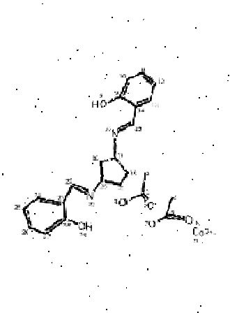 CC(=O)[O-].CC(=O)[O-].Oc1ccccc1C=NC1CCC(N=Cc2ccccc2O)C1.[Co+2]